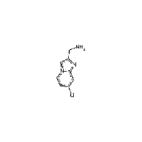 NCc1cn2ccc(Cl)cc2n1